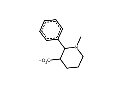 CN1CCCC(C(=O)O)C1c1ccccc1